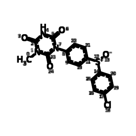 Cn1c(=O)[nH]c(=O)n(-c2ccc([S+]([O-])c3ccc(Cl)cc3)cc2)c1=O